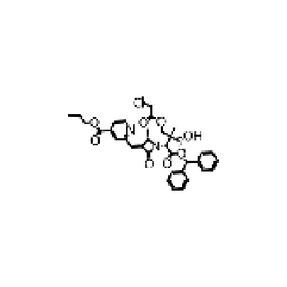 C=CCOC(=O)c1ccnc(/C=C2/C(=O)N([C@@H](C(=O)OC(c3ccccc3)c3ccccc3)[C@](C)(COC(=O)CCl)SO)[C@@H]2C)c1